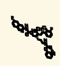 CNC(CCc1cccc(F)c1Cl)[C@H](CCCN/C(=N/C#N)Oc1ccccc1)COC(=O)Nc1cc2cc(F)ccc2cn1